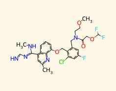 CN/C(=N\C=N)c1cc(C)nc2c(OCc3c(Cl)cc(F)cc3CN(CCOC)C(=O)COC(F)F)cccc12